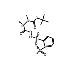 C[C@H](C(=O)ONS(=O)(=O)c1ccccc1S(C)(=O)=O)N(C)C(=O)OC(C)(C)C